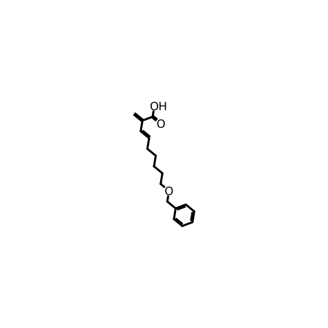 C=C(/C=C/CCCCCOCc1ccccc1)C(=O)O